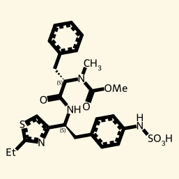 CCc1nc([C@H](Cc2ccc(NS(=O)(=O)O)cc2)NC(=O)[C@H](Cc2ccccc2)N(C)C(=O)OC)cs1